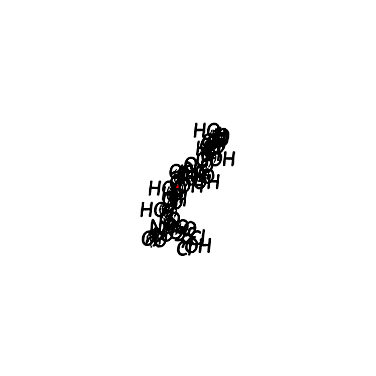 COC[C@H]1C[C@@H](O[C@@H]2OC[C@@H]3O[C@@]4(OC[C@@](O)(C(C)OC)[C@@H]5OCO[C@H]54)O[C@H]3[C@H]2O)[C@@H](OC)[C@@H](O)[C@@H]1O[C@@H]1O[C@H](C)[C@H](OC)[C@H](O[C@@H]2O[C@H](C)[C@H]3O[C@]4(C[C@@H](O)[C@H](O[C@H]5C[C@@H](O[C@H]6C[C@](C)(N)[C@@H](OC)[C@H](C)O6)[C@H](OC(=O)c6c(C)c(Cl)c(O)c(Cl)c6OC)[C@@H](C)O5)[C@@H](C)C4)O[C@@H]3[C@@H]2O)[C@H]1O